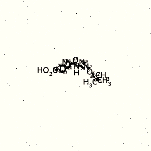 C[Si](C)(C)CCOCn1cnc(NC(=O)c2cnc3c(c2)CCN(C(=O)O)C3)c1